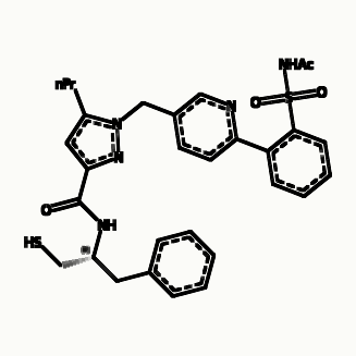 CCCc1cc(C(=O)N[C@@H](CS)Cc2ccccc2)nn1Cc1ccc(-c2ccccc2S(=O)(=O)NC(C)=O)nc1